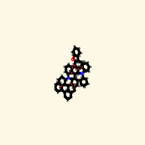 c1ccc(-c2cccc3cccc(-c4ccccc4N(c4cccc(-c5cccc6c5oc5ccccc56)c4)c4ccccc4-c4cccc5c6ccccc6n(-c6ccccc6)c45)c23)cc1